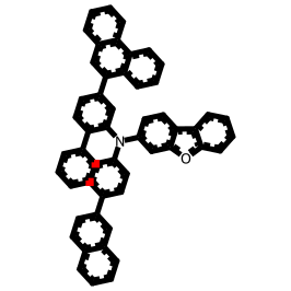 c1ccc(-c2ccc(-c3cc4ccccc4c4ccccc34)cc2N(c2ccc(-c3ccc4ccccc4c3)cc2)c2ccc3c(c2)oc2ccccc23)cc1